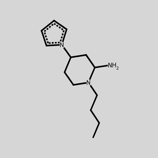 CCCCN1CCC(n2cccc2)CC1N